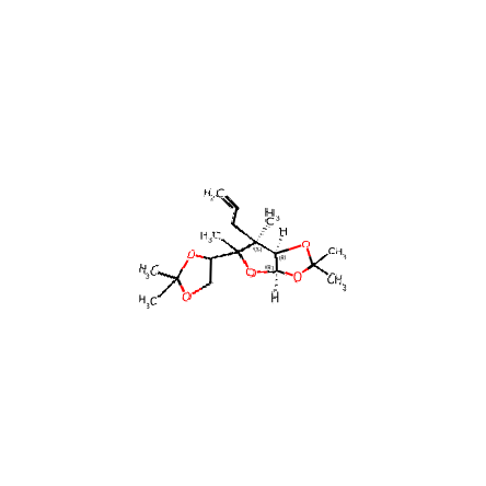 C=CC[C@@]1(C)[C@H]2OC(C)(C)O[C@H]2OC1(C)C1COC(C)(C)O1